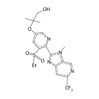 CCS(=O)(=O)c1cc(OC(C)(C)CO)cnc1-c1nc2cc(C(F)(F)F)ncc2n1C